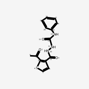 CC(=O)c1sccc1C(=O)NNC(=O)Nc1ccccc1